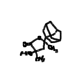 CC1(O)CC(C)(C23CC4CC(CC(C4)C2)C3)OC1=O